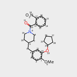 COc1ccc(CC2CCN(C(=O)c3ccccc3[N+](=O)[O-])CC2)cc1OC1CCCC1